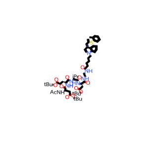 C=C(/C=C1/C=CN(CCCCCC(=O)NCCNC(=O)[C@H](CC(=O)OC(C)(C)C)NC(=O)[C@@H](NC(=O)[C@H](CCC(=O)OC(C)(C)C)NC(=O)[C@H](CC(=O)OC(C)(C)C)NC(C)=O)C(C)C)c2ccccc21)Sc1ccccc1C